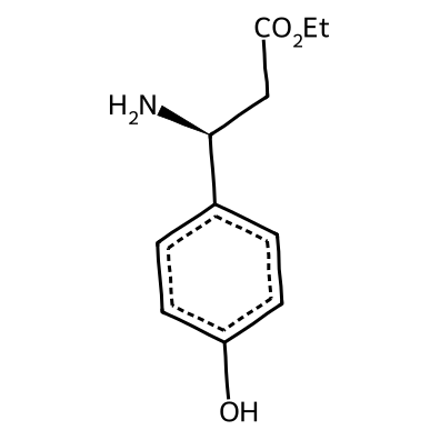 CCOC(=O)C[C@H](N)c1ccc(O)cc1